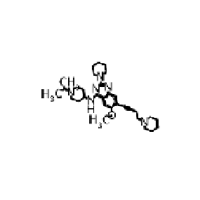 COc1cc2c(NC3CCN(C(C)C)CC3)nc(N3CCCCC3)nc2cc1C#CCCN1CCCCC1